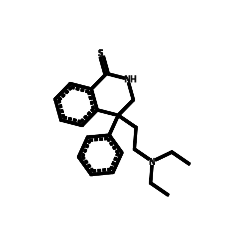 CCN(CC)CCC1(c2ccccc2)CNC(=S)c2ccccc21